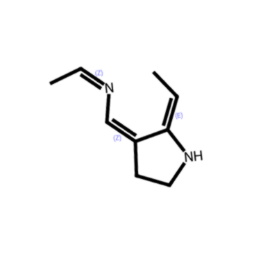 C\C=N/C=C1/CCN/C1=C/C